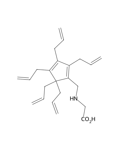 C=CCC1=C(CC=C)C(CC=C)(CC=C)C(CNCC(=O)O)=C1CC=C